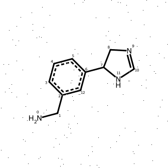 NCc1cccc(C2CN=CN2)c1